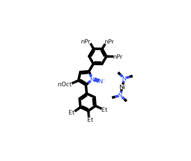 CCCCCCCCC1=C(c2cc(CC)c(CC)c(CC)c2)[N+](=[N-])C(c2cc(CCC)c(CCC)c(CCC)c2)=C1.C[N](C)[Ni][N](C)C